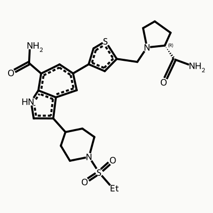 CCS(=O)(=O)N1CCC(c2c[nH]c3c(C(N)=O)cc(-c4csc(CN5CCC[C@@H]5C(N)=O)c4)cc23)CC1